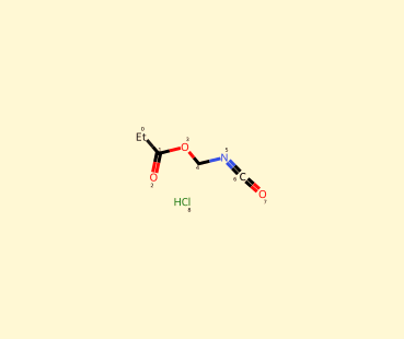 CCC(=O)OCN=C=O.Cl